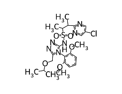 COc1cccc(OC)c1-n1c(COC(C)C)nnc1NS(=O)(=O)C(C)C(C)c1ncc(Cl)cn1